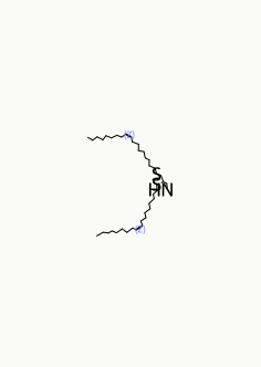 CCCCCCCC/C=C\CCCCCCCCSCC(CNC)SCCCCCCCC/C=C\CCCCCCCC